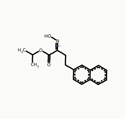 CC(C)OC(=O)/C(CCc1ccc2ccccc2c1)=N\O